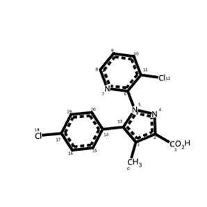 Cc1c(C(=O)O)nn(-c2ncccc2Cl)c1-c1ccc(Cl)cc1